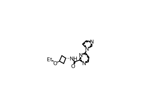 CCO[C@H]1C[C@H](NC(=O)c2nccc(-n3ccnc3)n2)C1